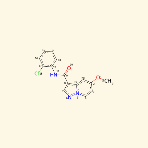 COc1ccn2ncc(C(=O)Nc3ccccc3Cl)c2c1